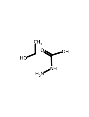 CCO.NNC(=O)O